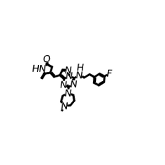 C=C1NC(=O)C/C1=C\c1cnn2c(NCCc3cccc(F)c3)nc(N3CCCN(C)CC3)nc12